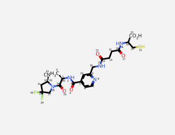 C[C@@H](NC(=O)c1ccnc(CNC(=O)CCC(=O)NC(CS)C(=O)O)c1)C(=O)N1CC(F)(F)C[C@H]1C#N